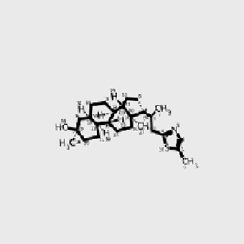 Cc1cnc(C[C@H](C)[C@H]2CC[C@H]3[C@@H]4CC[C@@H]5C[C@](C)(O)CC[C@@H]5[C@H]4CC[C@]23C)s1